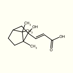 CC1(C)C2CCC1(C)C(O)(C=CC(=O)O)C2